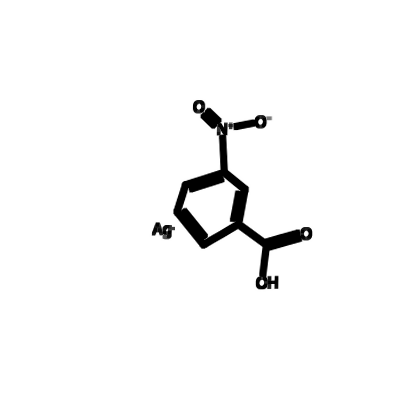 O=C(O)c1cccc([N+](=O)[O-])c1.[Ag]